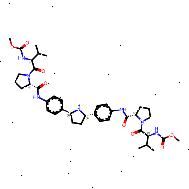 COC(=O)N[C@H](C(=O)N1CCC[C@H]1C(=O)Nc1ccc([C@@H]2CC[C@@H](c3ccc(NC(=O)[C@@H]4CCCN4C(=O)[C@@H](NC(=O)OC)C(C)C)cc3)N2)cc1)C(C)C